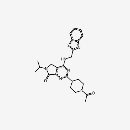 CC(=O)N1CCN(c2nc(NCc3nc4ccccc4s3)c3c(n2)C(=O)N(C(C)C)C3)CC1